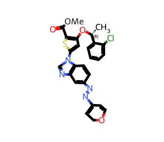 COC(=O)c1sc(-n2cnc3cc(N=NC4=CCOC=C4)ccc32)cc1O[C@H](C)c1ccccc1Cl